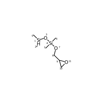 C[SiH](C)O[Si](C)(C)OCC1CO1